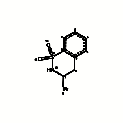 CC(C)C1Cc2ccccc2S(=O)(=O)N1